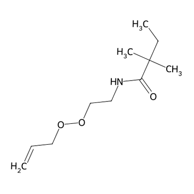 C=CCOOCCNC(=O)C(C)(C)CC